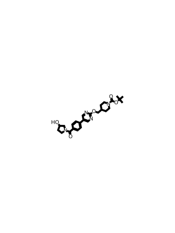 CC(C)(C)OC(=O)N1CCC(COc2ncc(-c3ccc(C(=O)N4CCC(O)C4)cc3)cn2)CC1